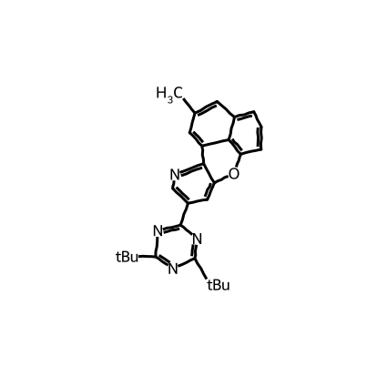 Cc1cc2c3c(cccc3c1)Oc1cc(-c3nc(C(C)(C)C)nc(C(C)(C)C)n3)cnc1-2